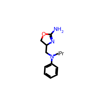 CC(C)N(CC1COC(N)=N1)c1ccccc1